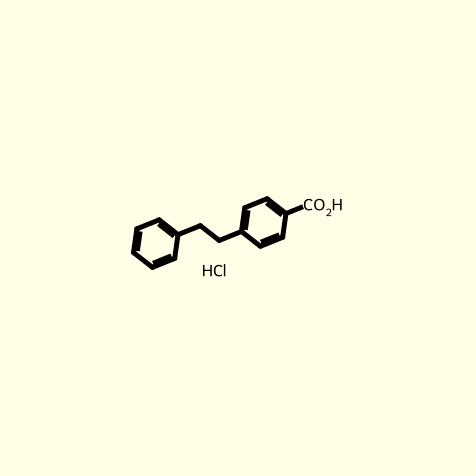 Cl.O=C(O)c1ccc(CCc2ccccc2)cc1